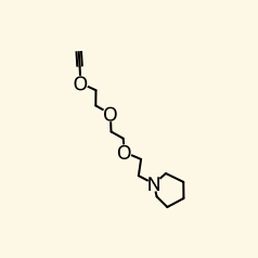 C#COCCOCCOCCN1CCCCC1